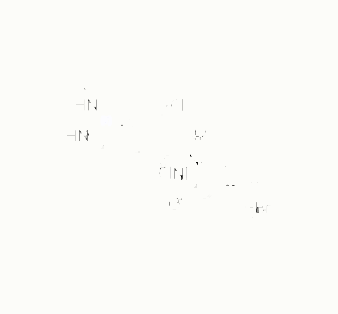 CN/C=C(\C=N)c1cc(Cl)c(C(=O)N(Cc2cccc(Br)c2C)NC=O)c(Cl)c1